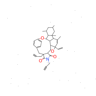 C#CCN1C(=O)C2C(=O)C3C4C(Oc5ccc(cc5)CC2(CC#C)C1=O)C1C(C)CC(C)CC1(C)C4C(C)=CC3(C)C=C